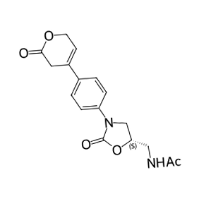 CC(=O)NC[C@H]1CN(c2ccc(C3=CCOC(=O)C3)cc2)C(=O)O1